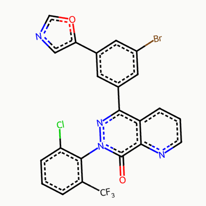 O=c1c2ncccc2c(-c2cc(Br)cc(-c3cnco3)c2)nn1-c1c(Cl)cccc1C(F)(F)F